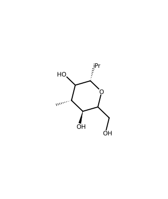 CC(C)[C@@H]1OC(CO)[C@@H](O)[C@H](C)C1O